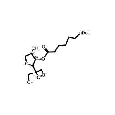 CCCCCCCCCCCCCCCC(=O)O[C@@H]1[C@@H](O)CO[C@@H]1[C@]1(CO)COO1